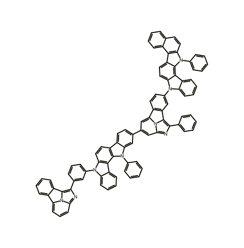 c1ccc(-c2nc3cc(-c4ccc5c6ccc7c(c8ccccc8n7-c7cccc(-c8nc9cccc%10c%11ccccc%11c8n9%10)c7)c6n(-c6ccccc6)c5c4)cc4c5ccc(-n6c7ccccc7c7c6ccc6c8c9ccccc9ccc8n(-c8ccccc8)c67)cc5c2n34)cc1